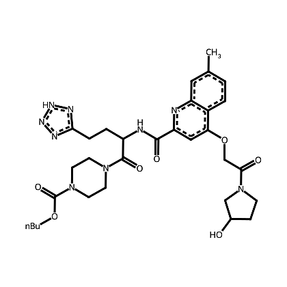 CCCCOC(=O)N1CCN(C(=O)C(CCc2nn[nH]n2)NC(=O)c2cc(OCC(=O)N3CCC(O)C3)c3ccc(C)cc3n2)CC1